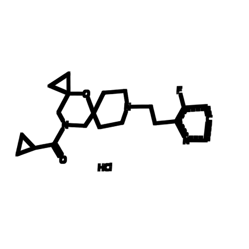 Cl.O=C(C1CC1)N1CC2(CCN(CCc3ncccc3F)CC2)OC2(CC2)C1